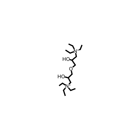 CC[N+](CC)(CC)CC(O)COCC(O)C[N+](CC)(CC)CC